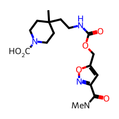 CNC(=O)c1cc(COC(=O)NCCC2(C)CCN(C(=O)O)CC2)on1